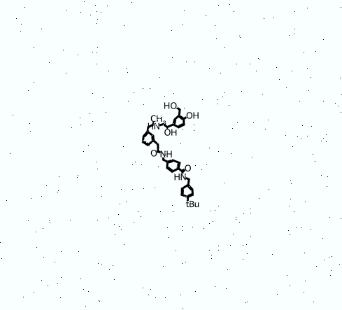 C[C@H](Cc1cccc(CC(=O)NCc2ccc(C(=O)NCc3ccc(C(C)(C)C)cc3)cc2)c1)NC[C@H](O)c1ccc(O)c(CO)c1